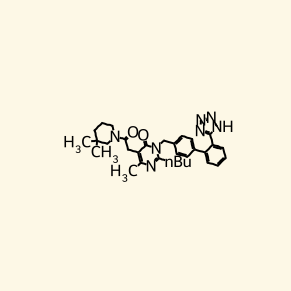 CCCCc1nc(C)c(CC(=O)N2CCCC(C)(C)C2)c(=O)n1Cc1ccc(-c2ccccc2-c2nnn[nH]2)cc1